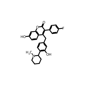 CN1CCCCC1c1ccc(Cc2c(-c3ccc(F)cc3)c(=O)oc3cc(O)ccc23)cc1O